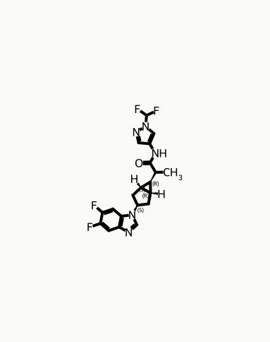 CC(C(=O)Nc1cnn(C(F)F)c1)[C@H]1[C@@H]2C[C@@H](n3cnc4cc(F)c(F)cc43)C[C@@H]21